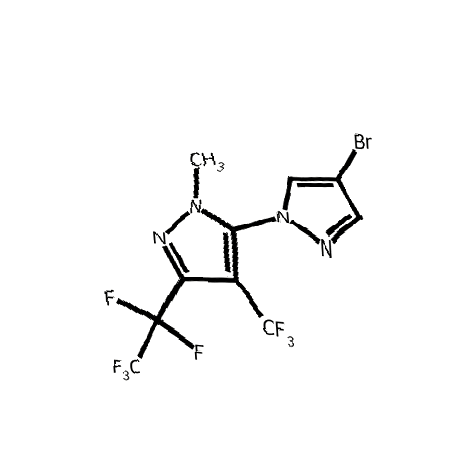 Cn1nc(C(F)(F)C(F)(F)F)c(C(F)(F)F)c1-n1cc(Br)cn1